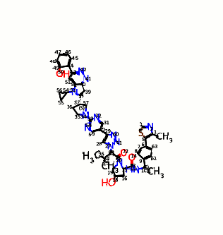 Cc1ncsc1-c1ccc([C@H](C)NC(=O)C2CC(O)CN2C(=O)[C@@H](C(C)C)n2cc(-c3cnc(N4CC[C@H](c5cc6nnc(-c7ccccc7O)cc6n5C5CC5)C4)nc3)nn2)cc1